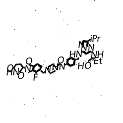 CC[C@@H](CO)Nc1cc(NCc2ccc(NC(=O)N3CCN(Cc4ccc5c(c4F)CN(C4CCC(=O)NC4=O)C5=O)CC3)cc2)n2ncc(C(C)C)c2n1